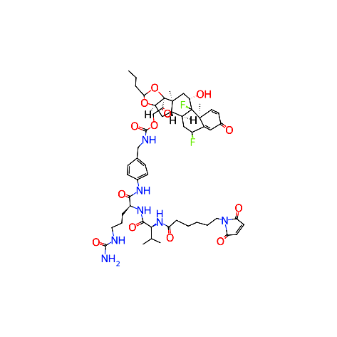 CCCC1O[C@@H]2C[C@H]3[C@@H]4C[C@H](F)C5=CC(=O)C=C[C@]5(C)[C@@]4(F)[C@@H](O)C[C@]3(C)[C@]2(C(=O)COC(=O)NCc2ccc(NC(=O)[C@H](CCCNC(N)=O)NC(=O)[C@@H](NC(=O)CCCCCN3C(=O)C=CC3=O)C(C)C)cc2)O1